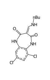 CCCCNC=C1C(=O)Nc2cc(Cl)cc(Cl)c2NC1=O